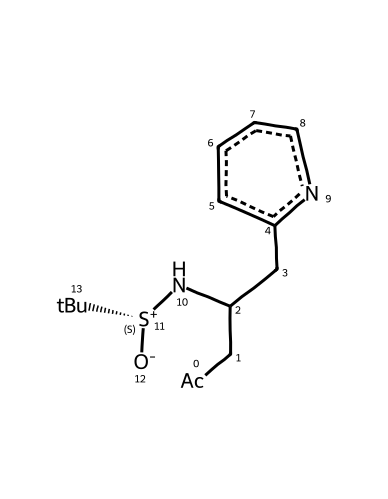 CC(=O)CC(Cc1ccccn1)N[S@+]([O-])C(C)(C)C